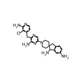 Nc1ccc2c(c1)C(N)C1(CCN(c3cnc(Sc4ccnc(N)c4Cl)c(N)n3)CC1)C2